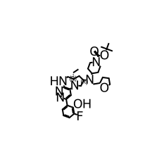 CC[C@@]12CNc3nnc(-c4cccc(F)c4O)cc3N1C[C@H](N(CC1CCCO1)C1CCN(C(=O)OC(C)(C)C)CC1)C2